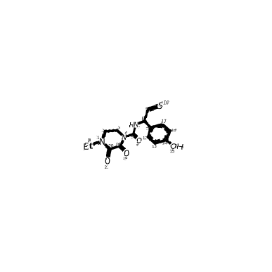 CCN1CCN(C(=O)NC([C]=S)c2ccc(O)cc2)C(=O)C1=O